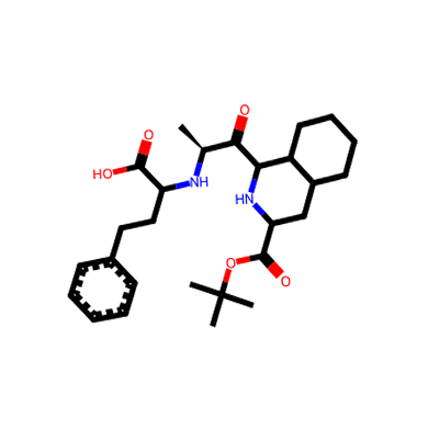 C[C@H](NC(CCc1ccccc1)C(=O)O)C(=O)C1NC(C(=O)OC(C)(C)C)CC2CCCCC21